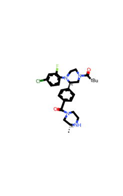 C[C@@H]1CN(C(=O)c2ccc([C@@H]3CN(C(=O)C(C)(C)C)CCN3c3ccc(Cl)cc3F)cc2)CCN1